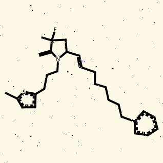 C=C1N(CCCc2ccc(C)s2)C(/C=C/CCCCCCc2ccccc2)CC1(C)F